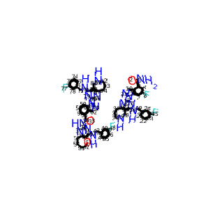 NC(=O)c1cc(F)cc2c1cnn2-c1nc2c(c(NCc3cccc(F)c3)n1)CNCCC2.O=C(Nc1nc2c(c(NCc3cccc(F)c3)n1)OCCCC2)c1cccc2c1cnn2-c1nc2c(c(NCc3cccc(F)c3)n1)CNCCC2